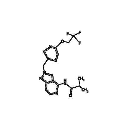 CC(C)C(=O)Nc1nccc2nn(Cc3ccc(OCC(F)(F)F)nc3)cc12